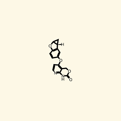 O=C1Nc2nccc(Oc3ccc4c(c3)[C@H]3CC3O4)c2CO1